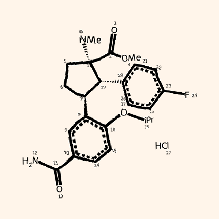 CN[C@@]1(C(=O)OC)CC[C@H](c2cc(C(N)=O)ccc2OC(C)C)[C@H]1c1ccc(F)cc1.Cl